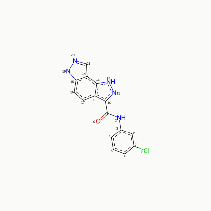 O=C(Nc1cccc(Cl)c1)c1n[nH]c2c3c(ccc12)[N]N=C3